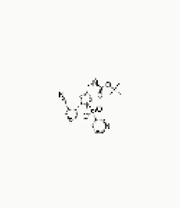 CN(Cc1cc(-c2cscc2C#N)n(S(=O)(=O)c2cccnc2)c1)C(=O)OC(C)(C)C